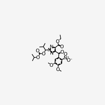 CCOC(=O)c1nn(C(OC(=O)OC(C)C)C(C)C)nc1C(=O)c1cc(OC)c(OC)cc1[N+](=O)[O-]